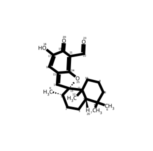 C[C@H]1CC[C@H]2C(C)(C)CCCC2(C)[C@]12C=C1C=C(O)C(=O)C(C=O)=C1O2